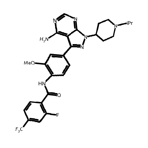 COc1cc(-c2nn(C3CCN(C(C)C)CC3)c3ncnc(N)c23)ccc1NC(=O)c1ccc(C(F)(F)F)cc1F